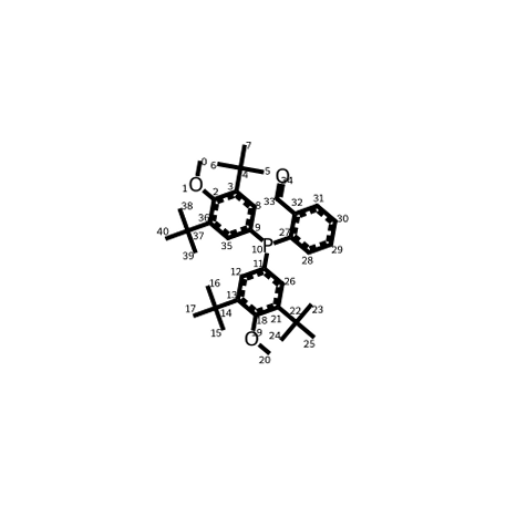 COc1c(C(C)(C)C)cc(P(c2cc(C(C)(C)C)c(OC)c(C(C)(C)C)c2)c2ccccc2C=O)cc1C(C)(C)C